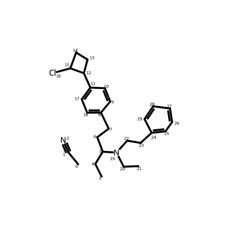 CC#N.CCC(CCc1ccc(C2CCC2Cl)cc1)N(CC)CCc1ccccc1